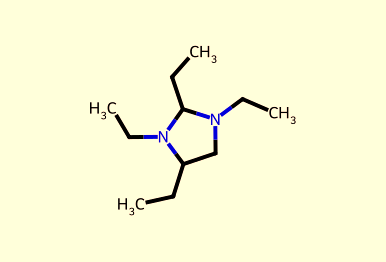 CCC1CN(CC)C(CC)N1CC